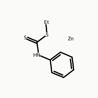 CCSC(=S)Nc1ccccc1.[Zn]